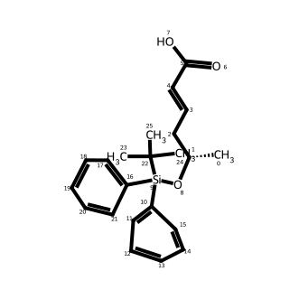 C[C@@H](CC=CC(=O)O)O[Si](c1ccccc1)(c1ccccc1)C(C)(C)C